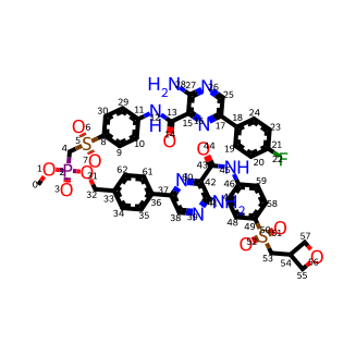 COP(=O)(CS(=O)(=O)c1ccc(NC(=O)c2nc(-c3ccc(F)cc3)cnc2N)cc1)OCc1ccc(-c2cnc(N)c(C(=O)Nc3ccc(S(=O)(=O)CC4COC4)cc3)n2)cc1